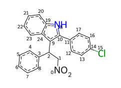 O=[N+]([O-])CC(c1ccccc1)c1c(-c2ccc(Cl)cc2)[nH]c2ccccc12